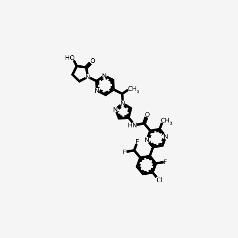 Cc1ncc(-c2c(C(F)F)ccc(Cl)c2F)nc1C(=O)Nc1cnn(C(C)c2cnc(N3CCC(O)C3=O)nc2)c1